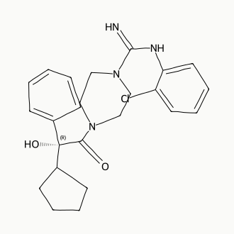 N=C(Nc1ccccc1Cl)N1CCN(C(=O)[C@](O)(c2ccccc2)C2CCCC2)CC1